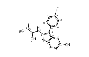 CC(C)[C@H](C)C(O)Nc1nc2ccc(C#N)cc2n1-c1ccc(F)cn1